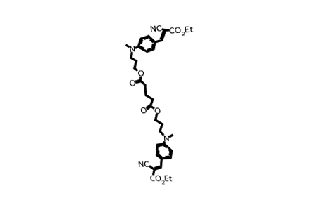 CCOC(=O)/C(C#N)=C/c1ccc(N(C)CCCOC(=O)CCCC(=O)OCCCN(C)c2ccc(/C=C(\C#N)C(=O)OCC)cc2)cc1